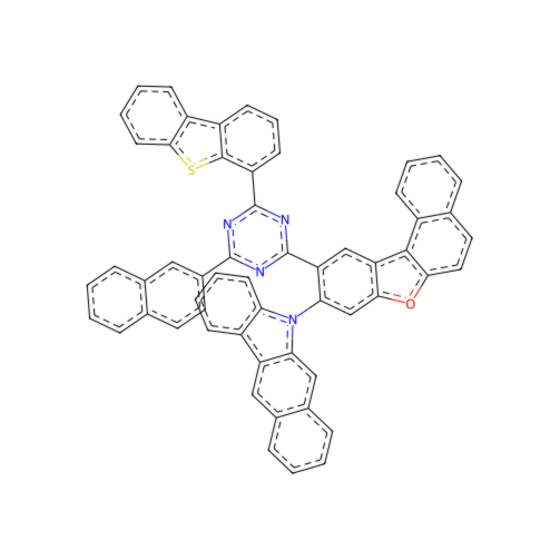 c1ccc2cc(-c3nc(-c4cc5c(cc4-n4c6ccccc6c6cc7ccccc7cc64)oc4ccc6ccccc6c45)nc(-c4cccc5c4sc4ccccc45)n3)ccc2c1